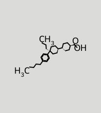 CCCCCc1ccc([C@]2(CCCC)CC[C@H]([C@H]3CC[C@H](C(=O)O)CC3)CC2)cc1